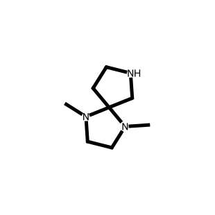 CN1CCN(C)C12CCNC2